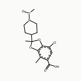 Cc1c(C(=O)O)cc(Cl)c2c1OC(C)(C1CCN([S+](C)[O-])CC1)O2